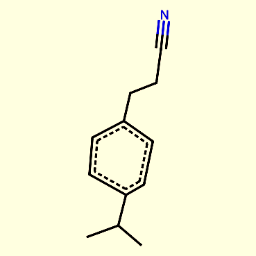 CC(C)c1ccc(CCC#N)cc1